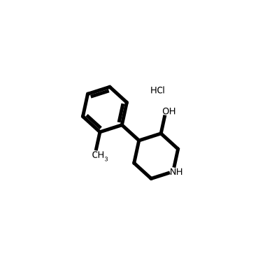 Cc1ccccc1C1CCNCC1O.Cl